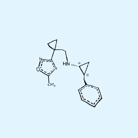 Cc1nc(C2(CN[C@@H]3C[C@H]3c3ccccc3)CC2)no1